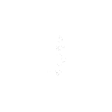 CC1CC(NC(=O)c2cccc(NCc3nnc(-c4ccncc4)[nH]3)c2)c2ncnn21